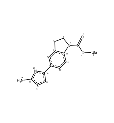 CC(C)(C)OC(=O)N1CCc2cc(-c3csc(N)n3)ccc21